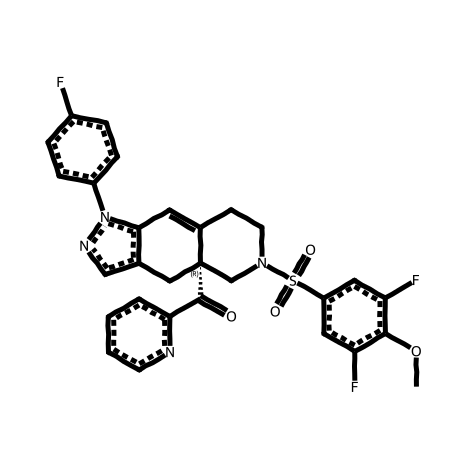 COc1c(F)cc(S(=O)(=O)N2CCC3=Cc4c(cnn4-c4ccc(F)cc4)C[C@]3(C(=O)c3ccccn3)C2)cc1F